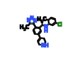 Cc1nnn2c1-c1ccc(C3=CCNCC3)cc1C(NC1C=C(Cl)C=CC1C)CC2